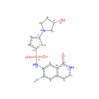 O=c1[nH]ccc2cc(F)c(NS(=O)(=O)c3ccc(N4CCC(O)C4)s3)cc12